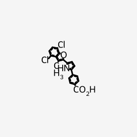 Cc1c(-c2ccc(-c3ccc(C(=O)O)cc3)[nH]2)oc2c(Cl)ccc(Cl)c12